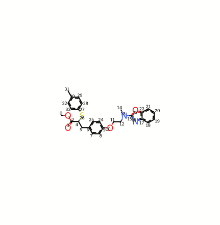 COC(=O)C(Cc1ccc(OCCN(C)c2nc3ccccc3o2)cc1)Sc1ccc(C)cc1